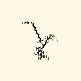 CCCCCCC=CCCCCCCCC(=O)OC[C@H](CCOC(=O)[C@@H](N)[C@@H](C)CC)Cn1cnc2c(=O)[nH]c(N)nc21